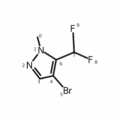 Cn1n[c]c(Br)c1C(F)F